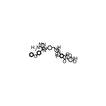 Nc1ncnc2c1c(-c1ccc(Oc3ccccc3)cc1)nn2C1CCC(CN2C[C@@H]3C[C@H]2CN3c2cc3c(cc2F)C(=O)N(C2CCC(=O)NC2=O)C3=O)CC1